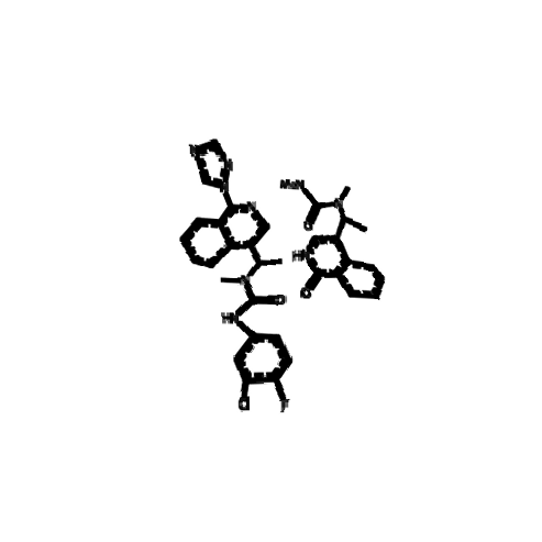 CC(c1cnc(-n2cncn2)c2ccccc12)N(C)C(=O)Nc1ccc(F)c(Cl)c1.CNC(=O)N(C)C(C)c1c[nH]c(=O)c2ccccc12